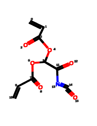 C=CC(=O)OC(OC(=O)C=C)C(=O)N=C=O